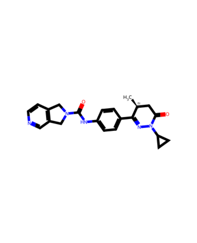 C[C@H]1CC(=O)N(C2CC2)N=C1c1ccc(NC(=O)N2Cc3ccncc3C2)cc1